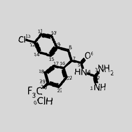 Cl.N=C(N)NC(=O)C(Cc1ccc(Cl)cc1)c1ccc(C(F)(F)F)cc1